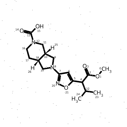 COC(=O)C(c1cc(N2C[C@H]3CN(C(=O)O)CC[C@H]3C2)no1)C(C)C